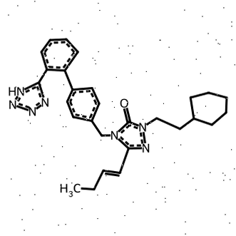 CCC=Cc1nn(CCC2CCCCC2)c(=O)n1Cc1ccc(-c2ccccc2-c2nnn[nH]2)cc1